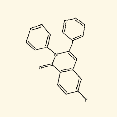 O=c1c2ccc(F)cc2cc(-c2ccccc2)n1-c1ccccc1